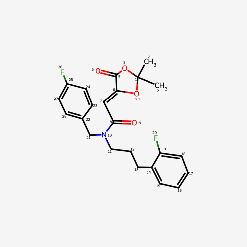 CC1(C)OC(=O)C(=CC(=O)N(CCCc2ccccc2F)Cc2ccc(F)cc2)O1